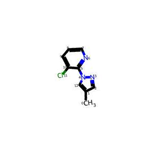 Cc1cnn(-c2ncccc2Cl)c1